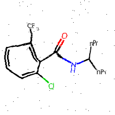 CCCC(CCC)NC(=O)c1c(Cl)cccc1C(F)(F)F